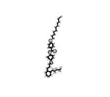 CCCCCCCCCCCOc1ccc(C(=O)Oc2ccc(OCCCC3CCCCC3CCCCC)cc2)cc1